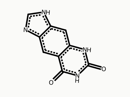 O=c1[nH]c(=O)c2cc3nc[nH]c3cc2[nH]1